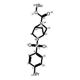 CCCc1ccc(S(=O)(=O)N2CC3CC2CN3C(=O)OC(C)(C)C)cc1